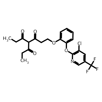 CCC(=O)C(C(=O)CC)C(=O)CCOc1ccccc1Oc1ncc(C(F)(F)F)cc1Cl